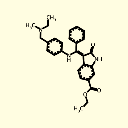 CCOC(=O)c1ccc2c(c1)NC(=O)C2=C(Nc1ccc(CN(C)CC)cc1)c1ccccc1